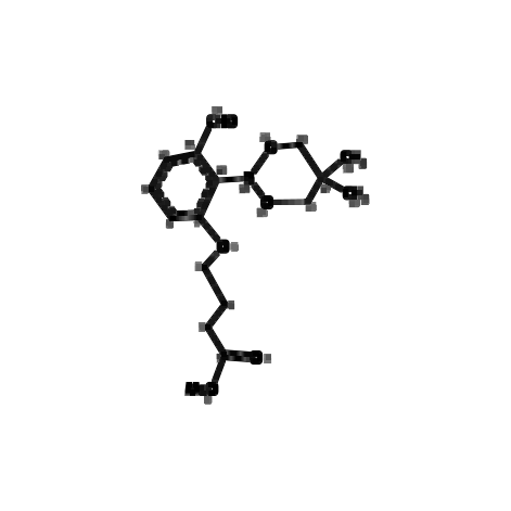 COC(=O)CCCOc1cccc(C=O)c1B1OCC(C)(C)CO1